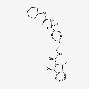 CC1CCC(NC(=O)NS(=O)(=O)c2ccc(CCNC(=O)N3C(=O)c4ccccc4C3C)cc2)CC1